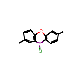 Cc1ccc2c(c1)Oc1ccc(C)cc1P2Cl